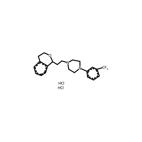 Cl.Cl.FC(F)(F)c1cccc(N2CCN(CCC3OCCc4ccccc43)CC2)c1